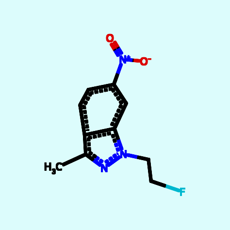 Cc1nn(CCF)c2cc([N+](=O)[O-])ccc12